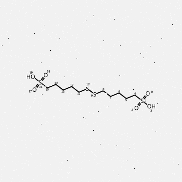 O=S(=O)(O)CCCCCSSCCCCCS(=O)(=O)O